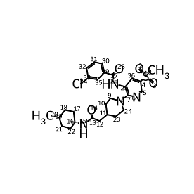 CS(=O)(=O)c1cnc(N2CCC(CC(=O)N[C@H]3CC[C@H](C)CC3)CC2)c(NC(=O)c2cccc(Cl)c2)c1